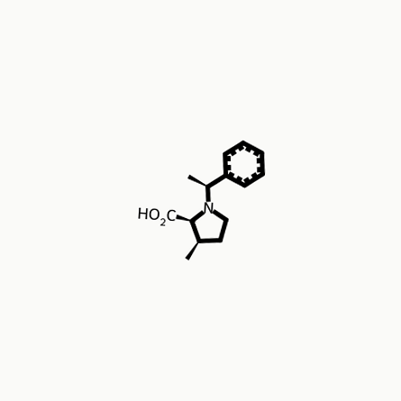 C[C@@H]1CCN([C@@H](C)c2ccccc2)[C@@H]1C(=O)O